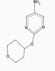 Bc1cnc(OC2CCOCC2)nc1